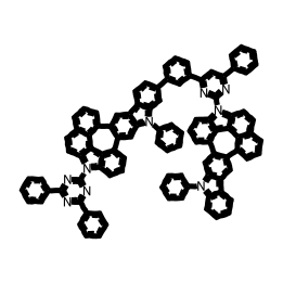 c1ccc(-c2cc(-c3cccc(-c4ccc5c6cc7c(cc6n(-c6ccccc6)c5c4)-c4cccc5c4c4c6c-7cccc6ccc4n5-c4nc(-c5ccccc5)nc(-c5ccccc5)n4)c3)nc(-n3c4cccc5c4c4c6c(cccc6ccc43)-c3cc4c6ccccc6n(-c6ccccc6)c4cc3-5)n2)cc1